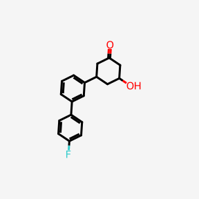 O=C1CC(O)CC(c2cccc(-c3ccc(F)cc3)c2)C1